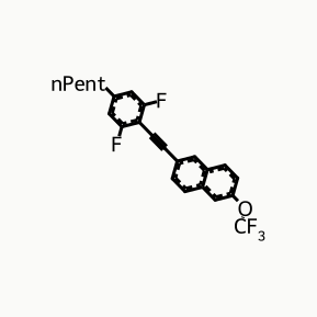 CCCCCc1cc(F)c(C#Cc2ccc3cc(OC(F)(F)F)ccc3c2)c(F)c1